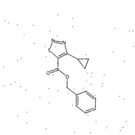 O=C(OCc1ccccc1)c1snnc1C1CC1